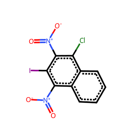 O=[N+]([O-])c1c(I)c([N+](=O)[O-])c2ccccc2c1Cl